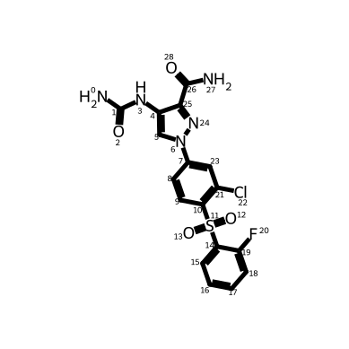 NC(=O)Nc1cn(-c2ccc(S(=O)(=O)c3ccccc3F)c(Cl)c2)nc1C(N)=O